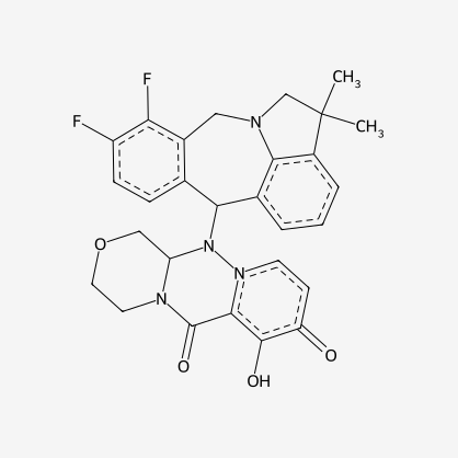 CC1(C)CN2Cc3c(ccc(F)c3F)C(N3C4COCCN4C(=O)c4c(O)c(=O)ccn43)c3cccc1c32